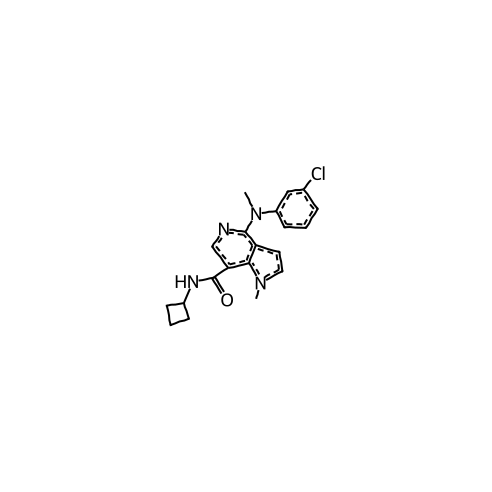 CN(c1cccc(Cl)c1)c1ncc(C(=O)NC2CCC2)c2c1ccn2C